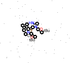 CC(C)(C)c1cccc2c1oc1cc(N(c3ccc4c(c3)sc3c(N(c5ccc6c(c5)oc5c(C(C)(C)C)cccc56)c5ccccc5C#N)cc5c(c34)-c3ccccc3C53c4ccccc4-c4ccccc43)c3ccccc3C=N)ccc12